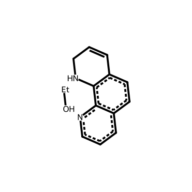 C1=Cc2ccc3cccnc3c2NC1.CCO